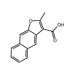 Cc1oc2cc3ccccc3cc2c1C(=O)O